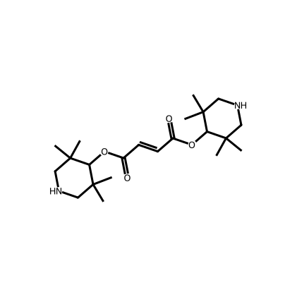 CC1(C)CNCC(C)(C)C1OC(=O)C=CC(=O)OC1C(C)(C)CNCC1(C)C